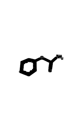 NC(=O)Oc1cc[c]cc1